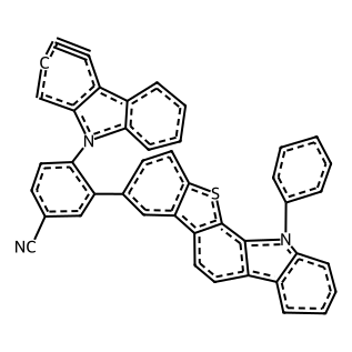 N#Cc1ccc(-n2c3ccc#cc3c3ccccc32)c(-c2ccc3sc4c(ccc5c6ccccc6n(-c6ccccc6)c54)c3c2)c1